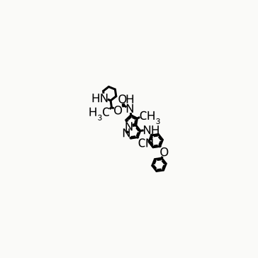 Cc1c(NC(=O)OC(C)C2CCCCN2)cn2ncc(C#N)c(Nc3ccc(Oc4ccccc4)cc3)c12